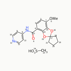 COc1ccc(C(=O)Nc2ccncc2)c2c1OC1(CCCC1)O2.CS(=O)(=O)O